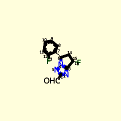 O=Cc1nc2n(n1)[C@H](c1ccccc1F)C[C@@H]2F